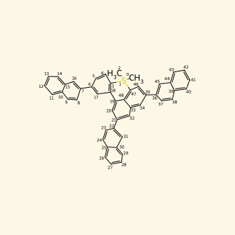 CS1(C)c2ccc(-c3ccc4ccccc4c3)cc2-c2cc(-c3ccc4ccccc4c3)cc3cc(-c4ccc5ccccc5c4)cc1c23